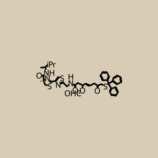 CC(C)C(C)NC(=O)[C@]1(C)CSC(c2csc(CNC(=O)CC(/C=C/CC(=O)CSC(c3ccccc3)(c3ccccc3)c3ccccc3)OC=O)n2)=N1